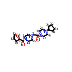 O=C(CN1CCN(C(=O)C2CCCO2)CC1)N1CCN(C2CCCC2)CC1